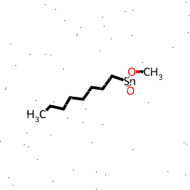 CCCCCCC[CH2][Sn](=[O])[O]C